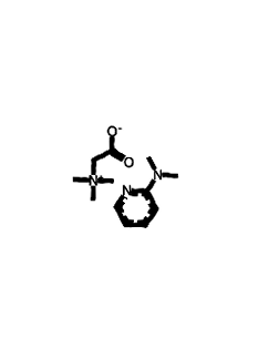 CN(C)c1ccccn1.C[N+](C)(C)CC(=O)[O-]